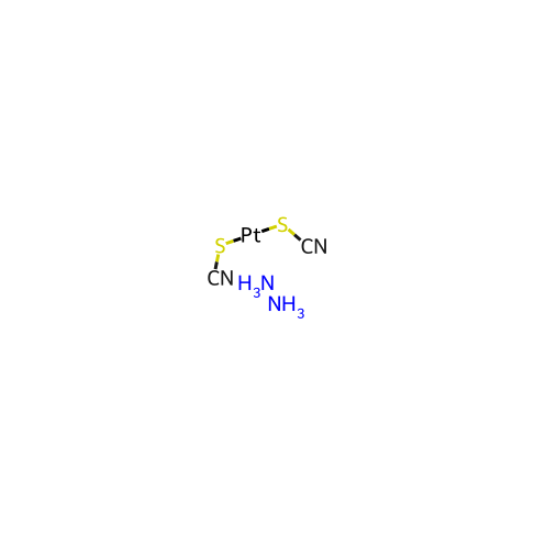 N.N.N#C[S][Pt][S]C#N